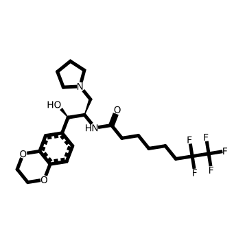 O=C(CCCCCC(F)(F)C(F)(F)F)N[C@H](CN1CCCC1)[C@H](O)c1ccc2c(c1)OCCO2